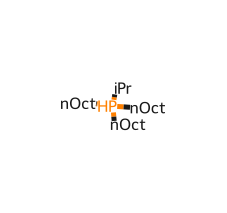 CCCCCCCC[PH](CCCCCCCC)(CCCCCCCC)C(C)C